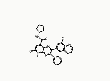 O=C(NC1CCCC1)c1cc(=O)[nH]c2nc(-c3ccccc3)c(-c3cc(Cl)c4ncccc4c3)nc12